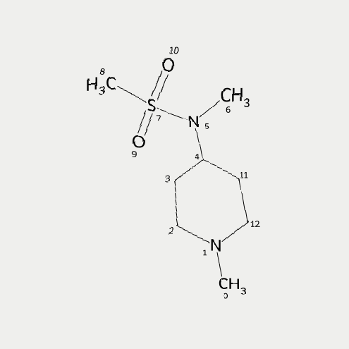 CN1CCC(N(C)S(C)(=O)=O)CC1